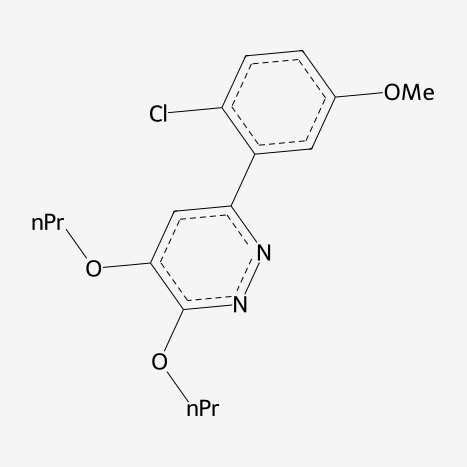 CCCOc1cc(-c2cc(OC)ccc2Cl)nnc1OCCC